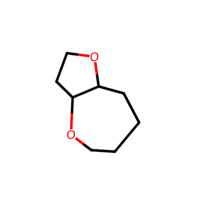 C1CCC2OCCC2OC1